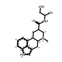 CCC(CO)NC(=O)C1CC2c3cccc4[nH]cc(c34)CC2N(C)C1